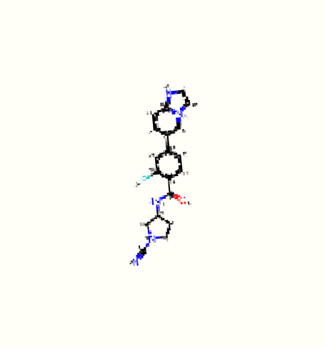 N#CN1CCC(NC(=O)c2ccc(-c3ccc4nccn4c3)cc2F)C1